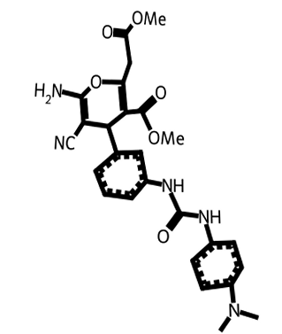 COC(=O)CC1=C(C(=O)OC)C(c2cccc(NC(=O)Nc3ccc(N(C)C)cc3)c2)C(C#N)=C(N)O1